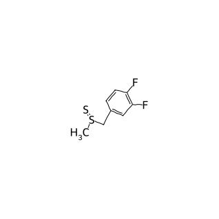 CS(=S)Cc1ccc(F)c(F)c1